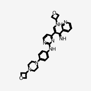 N=C(/C(=C\NC1COC1)c1ccnc(Nc2ccc(N3CCN(C4COC4)CC3)cc2)n1)c1cccnc1